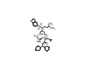 COC(=O)N[C@H](C(=O)N[C@H](CCC[C@@H](CO)N(CCC(C)C)S(=O)(=O)c1ccc2ncsc2c1)C1CC1)C(c1ccccc1)c1ccccc1